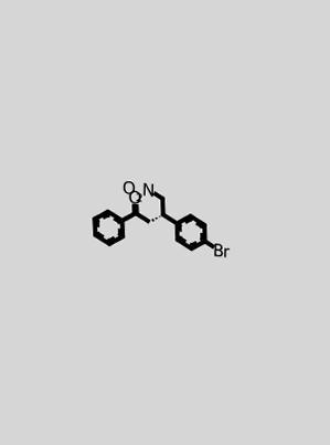 O=C(C[C@H](C[N+](=O)[O-])c1ccc(Br)cc1)c1ccccc1